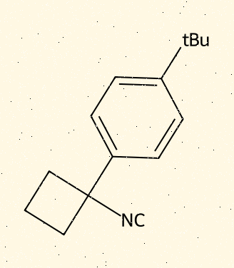 [C-]#[N+]C1(c2ccc(C(C)(C)C)cc2)CCC1